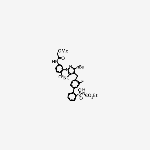 CCCCc1nn(-c2cc(NC(=O)COC)ccc2C(F)(F)F)c(C#N)c1Cc1ccc(-c2ccccc2S(=O)(=O)NC(=O)OCC)cc1F